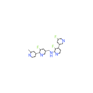 Cc1cc(-c2ncc(CNc3nccc(-c4cncc(F)c4)c3F)cc2F)ccn1